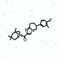 Cc1cc(C2CCc3nc(C(=O)N4CC5(C)CC4CC(C)(C)C5)cn3C2)ccc1F